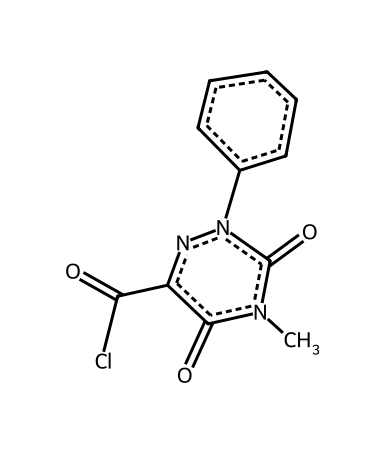 Cn1c(=O)c(C(=O)Cl)nn(-c2ccccc2)c1=O